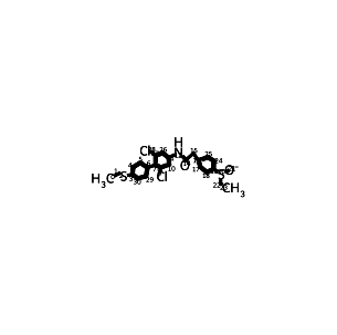 CCSc1ccc(-c2c(Cl)cc(NC(=O)Cc3ccc([S+]([O-])CC)cc3)cc2Cl)cc1